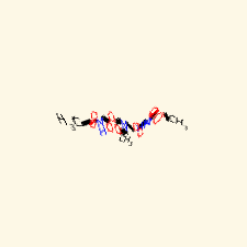 CCCOC(=O)NCC(=O)OCCN(CCOC(=O)CNC(=O)OCCC)CC(C)=O